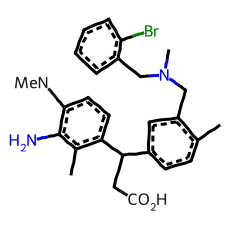 CNc1ccc(C(CC(=O)O)c2ccc(C)c(CN(C)Cc3ccccc3Br)c2)c(C)c1N